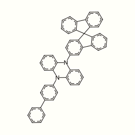 c1ccc(-c2ccc(N3c4ccccc4N(c4ccc5c(c4)-c4ccccc4C54c5ccccc5-c5ccccc54)c4ccccc43)cc2)cc1